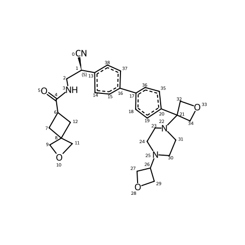 N#C[C@H](CNC(=O)C1CC2(COC2)C1)c1ccc(-c2ccc(C3(N4CCN(C5COC5)CC4)COC3)cc2)cc1